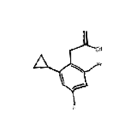 C=C(O)Cc1c(C(C)C)cc(F)cc1C1CC1